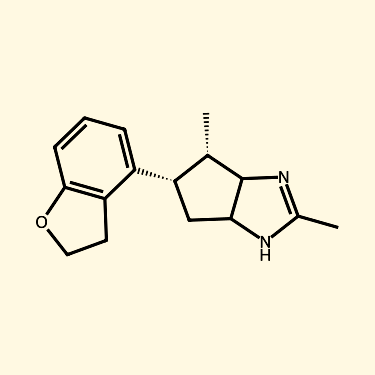 CC1=NC2C(C[C@H](c3cccc4c3CCO4)[C@@H]2C)N1